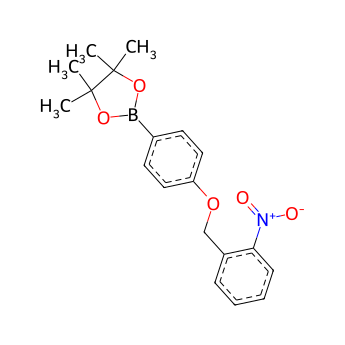 CC1(C)OB(c2ccc(OCc3ccccc3[N+](=O)[O-])cc2)OC1(C)C